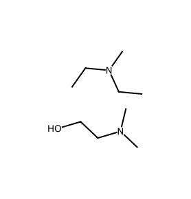 CCN(C)CC.CN(C)CCO